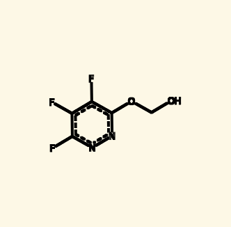 OCOc1nnc(F)c(F)c1F